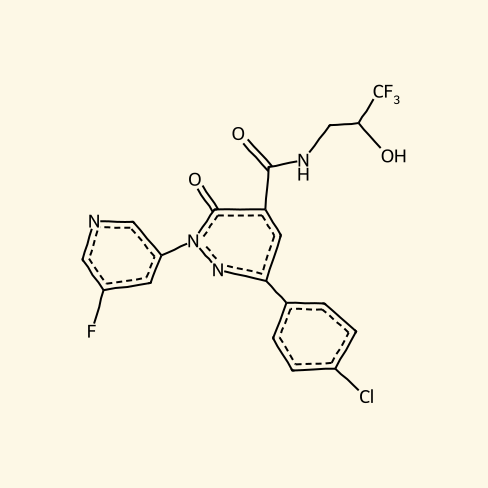 O=C(NCC(O)C(F)(F)F)c1cc(-c2ccc(Cl)cc2)nn(-c2cncc(F)c2)c1=O